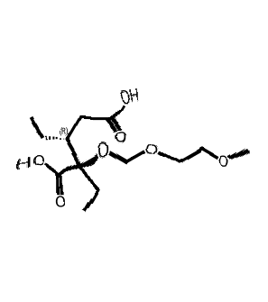 CC[C@H](CC(=O)O)C(CC)(OCOCCOC)C(=O)O